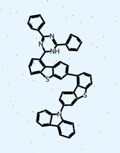 c1ccc(C2=NC(c3cccc4sc5cc(-c6cccc7sc8cc(-n9c%10ccccc%10c%10ccccc%109)ccc8c67)ccc5c34)NC(c3ccccc3)=N2)cc1